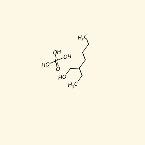 CCCCC(CC)CO.O=P(O)(O)O